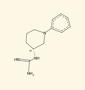 N=C(N)N[C@@H]1CCCN(c2ccccc2)C1